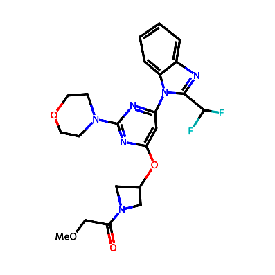 COCC(=O)N1CC(Oc2cc(-n3c(C(F)F)nc4ccccc43)nc(N3CCOCC3)n2)C1